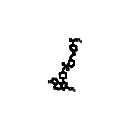 Cc1nc(C2CCC(CS(=O)(=O)N3CCCC(COc4ccc(C(N)=O)cc4)C3)CC2)c2c(cnc3[nH]ccc32)n1